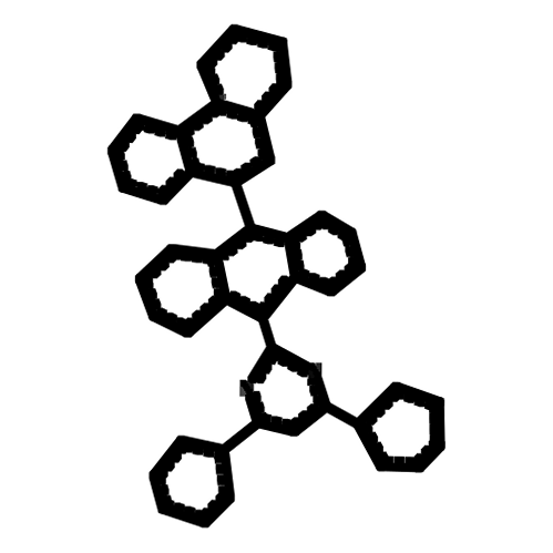 c1ccc(-c2cc(-c3ccccc3)nc(-c3c4ccccc4c(-c4cc5ccccc5c5ccccc45)c4ccccc34)n2)cc1